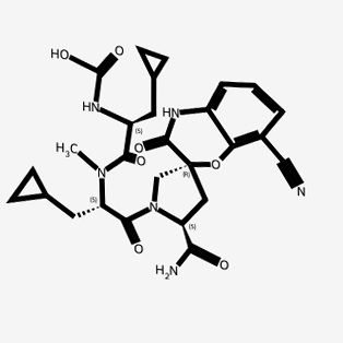 CN(C(=O)[C@H](CC1CC1)NC(=O)O)[C@@H](CC1CC1)C(=O)N1C[C@@]2(C[C@H]1C(N)=O)Oc1c(C#N)cccc1NC2=O